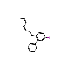 C/C=C\C=C/CCc1ccc(I)cc1C1=CC=CCC1